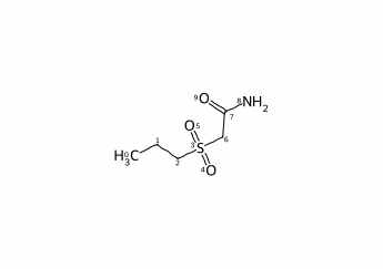 CCCS(=O)(=O)CC(N)=O